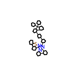 c1ccc(-c2ccccc2-c2nc(-c3cccc(-c4ccc(-c5cccc6c5-c5ccccc5C6(c5ccccc5)c5ccccc5)cc4)c3)nc(-c3cccc4c3sc3ccccc34)n2)cc1